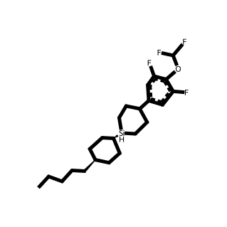 CCCCC[C@H]1CC[C@H]([SiH]2CCC(c3cc(F)c(OC(F)F)c(F)c3)CC2)CC1